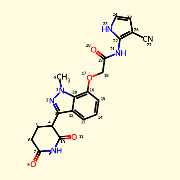 Cn1nc(C2CCC(=O)NC2=O)c2cccc(OCC(=O)Nc3[nH]ccc3C#N)c21